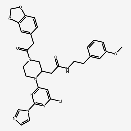 COc1cccc(CCNC(=O)CC2CN(C(=O)Cc3ccc4c(c3)OCO4)CCN2c2cc(Cl)nc(-n3ccnc3)n2)c1